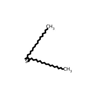 CCCCCCCCCCCCCCCCCc1cscc1CCCCCCCCCCCCCCCCC